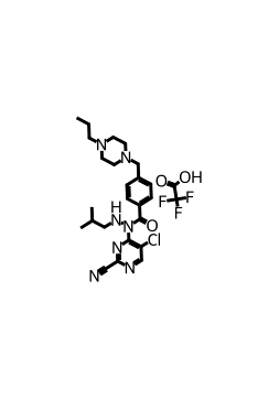 CCCN1CCN(Cc2ccc(C(=O)N(NCC(C)C)c3nc(C#N)ncc3Cl)cc2)CC1.O=C(O)C(F)(F)F